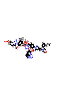 CCCOc1nc2[nH]ccc2cc1Oc1cc(N2CCC3(CC2)CC(N2CCOC[C@@H]2c2ccccc2C(C)C)C3)ccc1C(=O)NS(=O)(=O)c1cc2c(c([N+](=O)[O-])c1)N[C@@H]([C@H]1CC[C@](C)(O)CC1)CO2